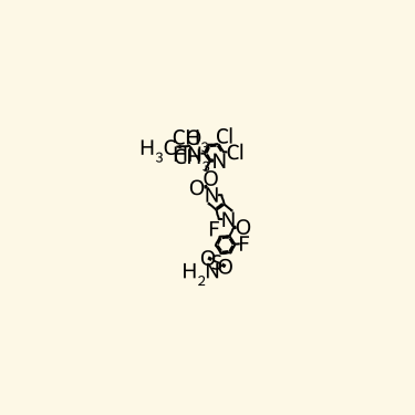 CC(C)(C)C(=O)Nc1cc(Cl)c(Cl)nc1COC(=O)N1CC2=C(C1)CN(C(=O)c1c(F)cc(S(N)(=O)=O)cc1F)C2